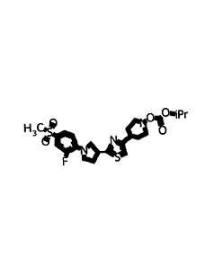 CC(C)OC(=O)ON1CCC(c2csc([C@H]3CCN(c4ccc(S(C)(=O)=O)cc4F)C3)n2)CC1